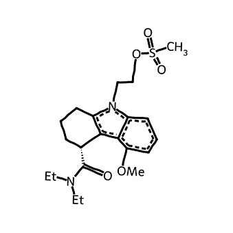 CCN(CC)C(=O)[C@@H]1CCCc2c1c1c(OC)cccc1n2CCOS(C)(=O)=O